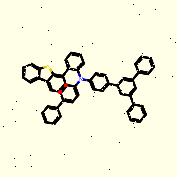 C1=C(c2ccccc2)C=C(c2ccccc2)CC1c1ccc(N(c2ccc(-c3ccccc3)cc2)c2ccccc2-c2cccc3c2sc2ccccc23)cc1